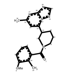 COc1cccc(C(=O)N2CCCC(c3cc(C)nc4ncnn34)C2)c1C